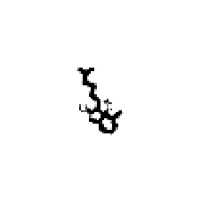 COC1(C(C=O)CCCCC(C)C)C(C)=CCC=C1C